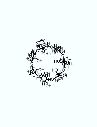 ClCC1CO1.OC[C@H]1O[C@@H]2O[C@H]3[C@H](O)[C@@H](O)[C@@H](O[C@H]4[C@H](O)[C@@H](O)[C@@H](O[C@H]5[C@H](O)[C@@H](O)[C@@H](O[C@H]6[C@H](O)[C@@H](O)[C@@H](O[C@H]7[C@H](O)[C@@H](O)[C@@H](O[C@H]8[C@H](O)[C@@H](O)[C@@H](O[C@H]1[C@H](O)[C@H]2O)O[C@@H]8CO)O[C@@H]7CO)O[C@@H]6CO)O[C@@H]5CO)O[C@@H]4CO)O[C@@H]3CO